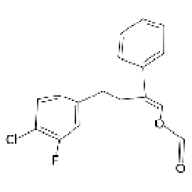 O=CO/C=C(\CCc1ccc(Cl)c(F)c1)c1ccccc1